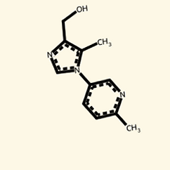 Cc1ccc(-n2cnc(CO)c2C)cn1